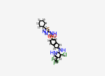 O=S(=O)(Nc1nnc(C2CCCCC2)s1)c1ccc2c(c1)CC(NC1NC=C(C(F)(F)F)C=C1Cl)C2